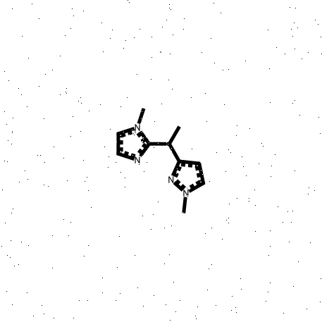 CC(c1ccn(C)n1)c1nccn1C